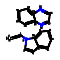 C=Cn1ccc2ccccc21.c1ccc2nccnc2c1